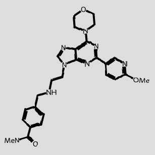 CNC(=O)c1ccc(CNCCn2cnc3c(N4CCOCC4)nc(-c4ccc(OC)nc4)nc32)cc1